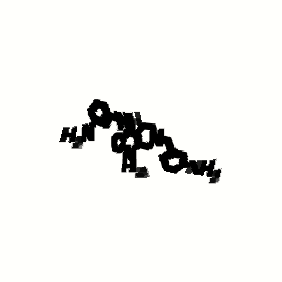 NC1=C(C(=O)Nc2cccc(N)c2)CCN(Cc2cccc(N)c2)C1